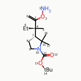 C=C(ON)[C@@](C)(CC)[C@H]1CCN(C(=O)OC(C)(C)C)C1(C)C